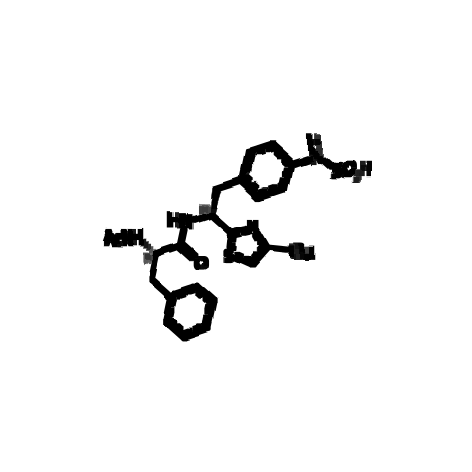 CC(=O)N[C@@H](Cc1ccccc1)C(=O)N[C@@H](Cc1ccc(NS(=O)(=O)O)cc1)c1nc(C(C)(C)C)cs1